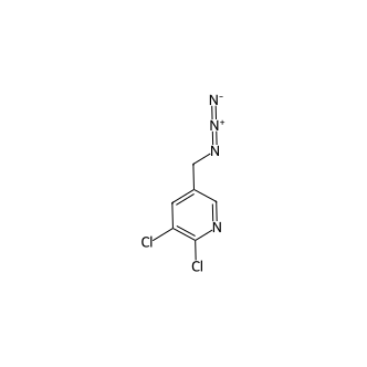 [N-]=[N+]=NCc1cnc(Cl)c(Cl)c1